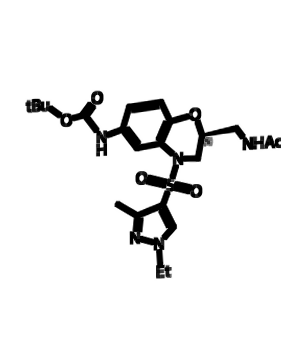 CCn1cc(S(=O)(=O)N2C[C@H](CNC(C)=O)Oc3ccc(NC(=O)OC(C)(C)C)cc32)c(C)n1